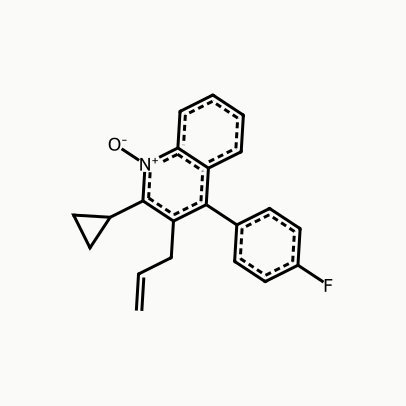 C=CCc1c(-c2ccc(F)cc2)c2ccccc2[n+]([O-])c1C1CC1